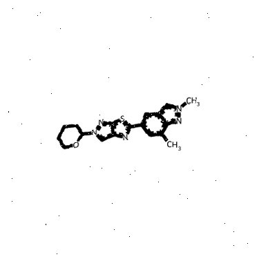 Cc1cc(-c2nc3cn(C4CCCCO4)nc3s2)cc2cn(C)nc12